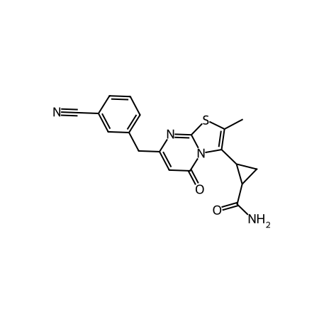 Cc1sc2nc(Cc3cccc(C#N)c3)cc(=O)n2c1C1CC1C(N)=O